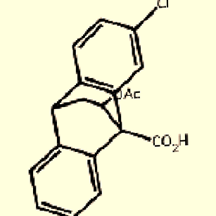 CC(=O)OC1CC2c3ccccc3C1(C(=O)O)c1cc(Cl)ccc12